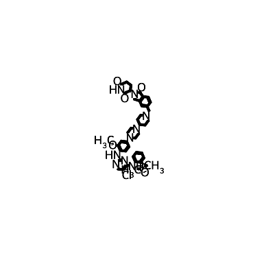 COc1cc(N2CCN(C3CCN(Cc4ccc5c(c4)CN(C4CCC(=O)NC4=O)C5=O)CC3)CC2)ccc1Nc1ncc(Cl)c(Nc2ccccc2P(C)(C)=O)n1